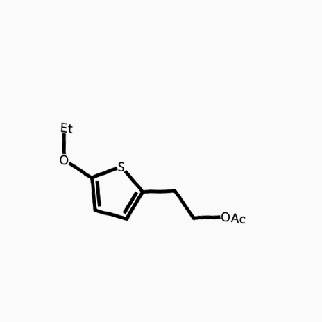 CCOc1ccc(CCOC(C)=O)s1